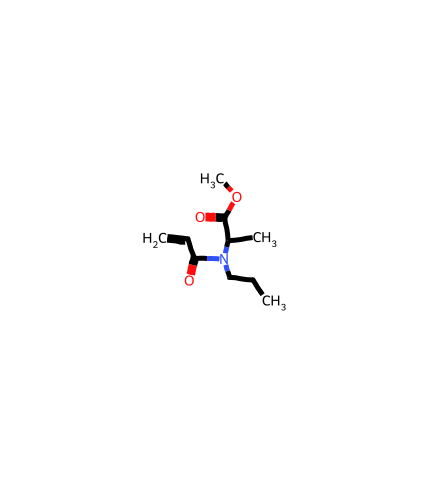 C=CC(=O)N(CCC)C(C)C(=O)OC